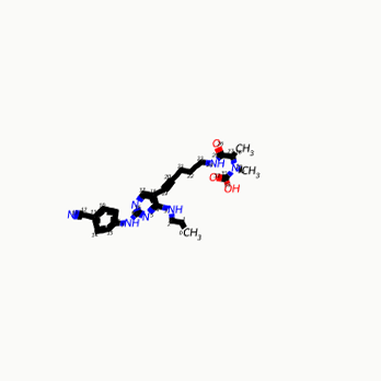 CCCNc1nc(Nc2ccc(C#N)cc2)ncc1C#CCCCNC(=O)C(C)N(C)C(=O)O